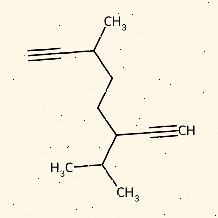 [C]#CC(C)CCC(C#C)C(C)C